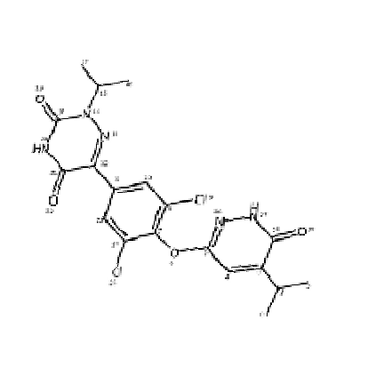 CC(C)c1cc(Oc2c(Cl)cc(-c3nn(C(C)C)c(=O)[nH]c3=O)cc2Cl)n[nH]c1=O